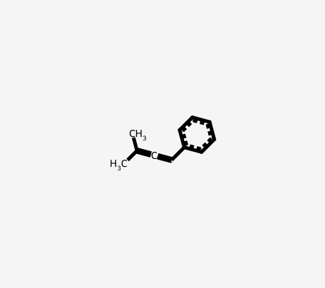 CC(C)=C=[C]c1ccccc1